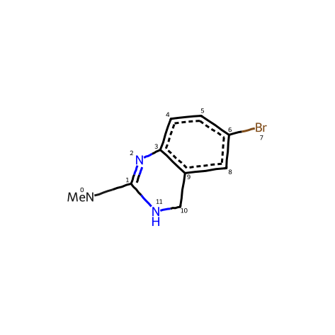 CNC1=Nc2ccc(Br)cc2CN1